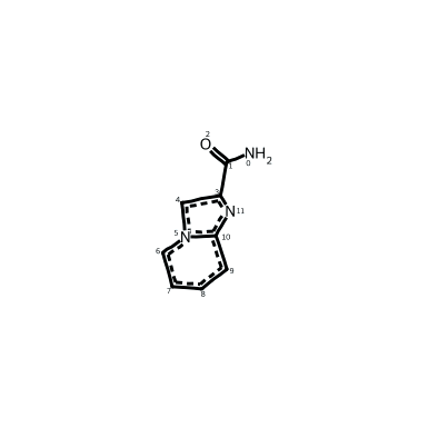 NC(=O)c1cn2ccccc2n1